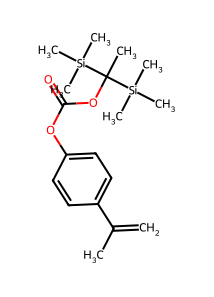 C=C(C)c1ccc(OC(=O)OC(C)([Si](C)(C)C)[Si](C)(C)C)cc1